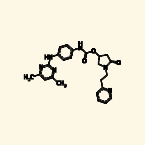 Cc1cc(C)nc(Nc2ccc(NC(=O)OC3CC(=O)N(CCc4ccccn4)C3)cc2)n1